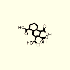 O=C(O)C1=C(C(=O)O)C(C(=O)O)C2CCCC(C(=O)O)C2=C1